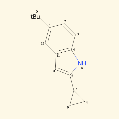 CC(C)(C)c1ccc2[nH]c(C3CC3)cc2c1